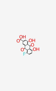 O=C(O)c1cc(O)c2c(c1)C(=O)c1c(F)ccc(O)c1C2=O